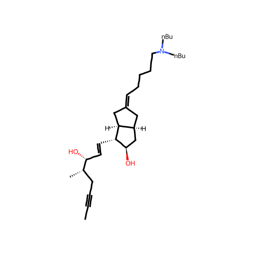 CC#CC[C@H](C)[C@H](O)/C=C/[C@@H]1[C@H]2C/C(=C/CCCCN(CCCC)CCCC)C[C@H]2C[C@H]1O